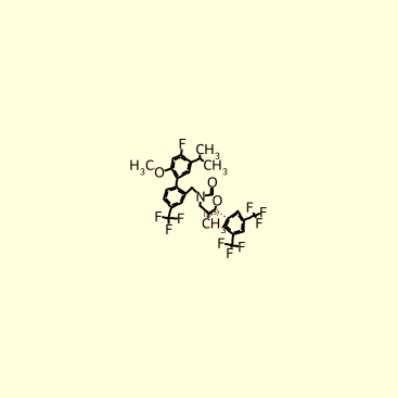 COc1cc(F)c(C(C)C)cc1-c1ccc(C(F)(F)F)cc1CN1C[C@H](C)[C@@H](c2cc(C(F)(F)F)cc(C(F)(F)F)c2)OC1=O